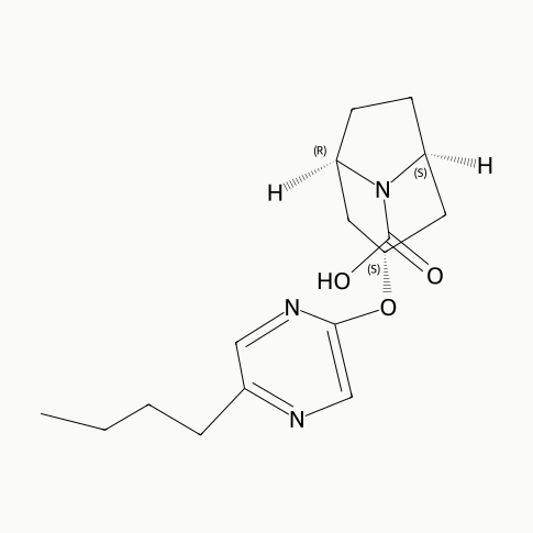 CCCCc1cnc(O[C@@H]2C[C@H]3CC[C@@H](C2)N3C(=O)O)cn1